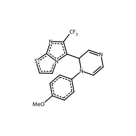 COc1ccc(N2C=CN=CC2c2c(C(F)(F)F)nc3sccn23)cc1